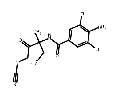 CCC(C)(NC(=O)c1cc(Cl)c(N)c(Cl)c1)C(=O)CSC#N